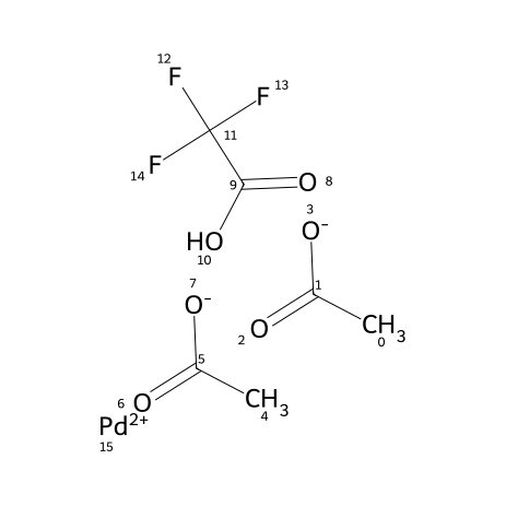 CC(=O)[O-].CC(=O)[O-].O=C(O)C(F)(F)F.[Pd+2]